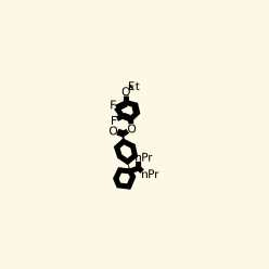 CCCC(CCC)C1([C@H]2CC[C@H](C(=O)Oc3ccc(OCC)c(F)c3F)CC2)CCCCC1